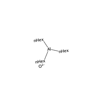 CCCCC[CH2][Al]([CH2]CCCCC)[CH2]CCCCC.[O-2]